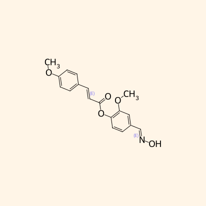 COc1ccc(/C=C/C(=O)Oc2ccc(/C=N/O)cc2OC)cc1